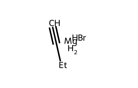 Br.C#CCC.[MgH2]